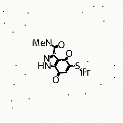 CNC(=O)c1n[nH]c2c1C(=O)C(SC(C)C)=CC2=O